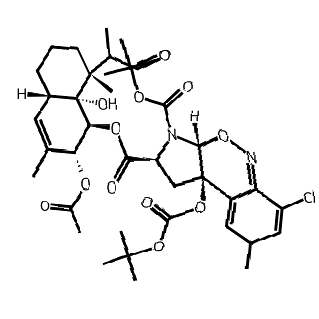 CC(=O)O[C@@H]1C(C)=C[C@@H]2CCC[C@](C)(C(C)C=O)[C@@]2(O)[C@H]1OC(=O)[C@@H]1C[C@@]2(OC(=O)OC(C)(C)C)C3=CC(C)C=C(Cl)C3=NO[C@H]2N1C(=O)OC(C)(C)C